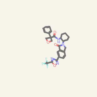 O=C1c2cc(-c3noc(C(F)(F)F)n3)ccc2CN1C1CCCCC1NC(=O)C1(c2ccccc2)COC1